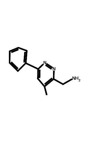 Cc1cc(-c2ccccc2)nnc1CN